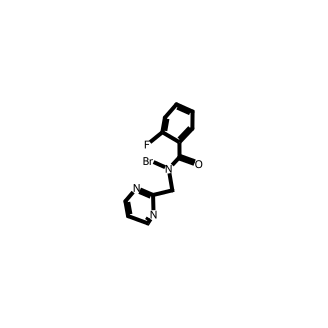 O=C(c1ccccc1F)N(Br)Cc1ncccn1